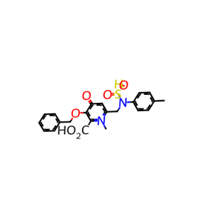 Cc1ccc(N(Cc2cc(=O)c(OCc3ccccc3)c(C(=O)O)n2C)[SH](=O)=O)cc1